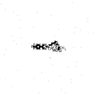 CN(CCCc1csc(SC(C)(C)C(=O)O)n1)c1ncc(-c2ccc(C(F)(F)F)cc2)cn1